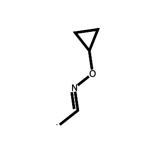 [CH2]C=NOC1CC1